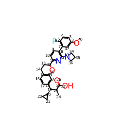 COc1ccc(F)c(-c2ccc(C3CCc4ccc([C@H](C5CC5)[C@H](C)C(=O)O)cc4O3)nc2N2CCC2)c1